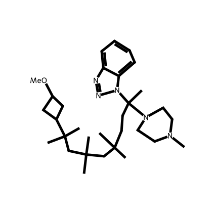 COC1CC(C(C)(C)CC(C)(C)CC(C)(C)CCC(C)(N2CCN(C)CC2)n2nnc3ccccc32)C1